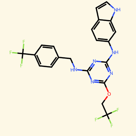 FC(F)(F)COc1nc(NCc2ccc(C(F)(F)F)cc2)nc(Nc2ccc3cc[nH]c3c2)n1